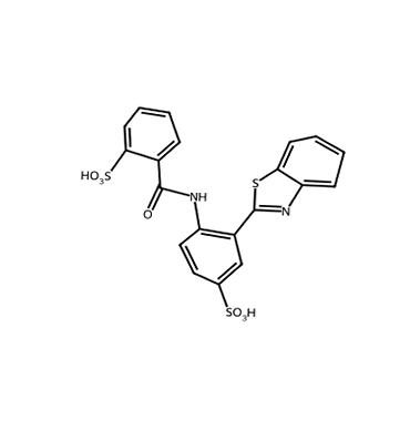 O=C(Nc1ccc(S(=O)(=O)O)cc1-c1nc2ccccc2s1)c1ccccc1S(=O)(=O)O